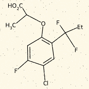 CCC(F)(F)c1cc(Cl)c(F)cc1OC(C)C(=O)O